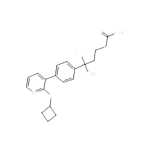 CC(C)(CCCC(=O)O)c1ccc(-c2cccnc2SC2CCC2)cc1